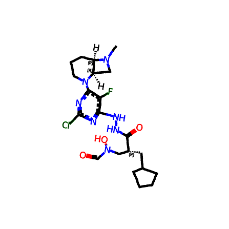 CN1C[C@@H]2[C@H]1CCCN2c1nc(Cl)nc(NNC(=O)[C@H](CC2CCCC2)CN(O)C=O)c1F